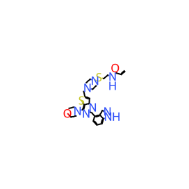 C=CC(=O)NCCSN1CCN(Cc2cc3nc(-c4cccc5[nH]ncc45)nc(N4CCOCC4)c3s2)CC1